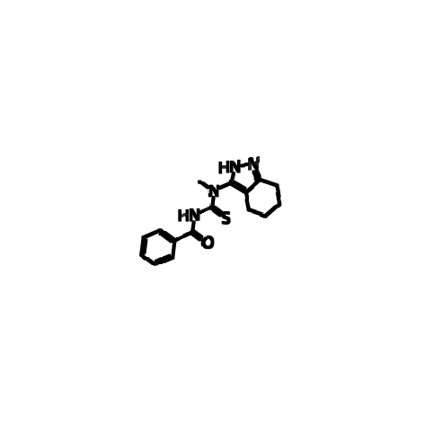 CN(C(=S)NC(=O)c1ccccc1)c1[nH]nc2c1CCCC2